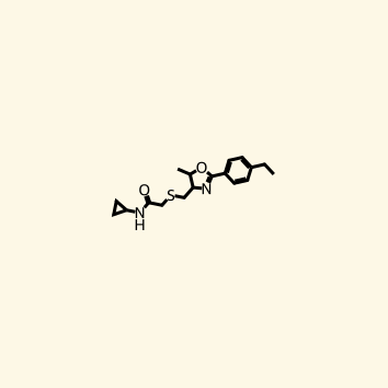 CCc1ccc(C2=NC(CSCC(=O)NC3CC3)C(C)O2)cc1